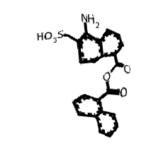 Nc1c(S(=O)(=O)O)ccc2c(C(=O)OC(=O)c3cccc4ccccc34)cccc12